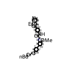 CCCCOCCOc1ccc(-c2ccc(OC)c(/C=C/C(=O)Nc3ccc([S@+]([O-])CC4C#CN=CN4CC)cc3)c2)cc1